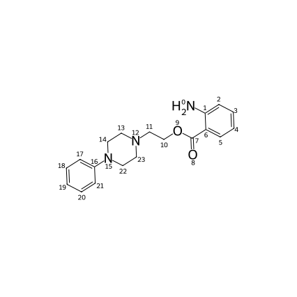 Nc1ccccc1C(=O)OCCN1CCN(c2ccccc2)CC1